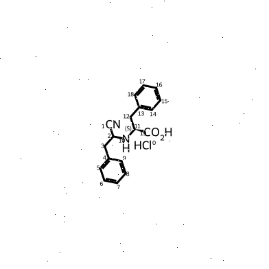 Cl.N#CC(Cc1ccccc1)N[C@@H](Cc1ccccc1)C(=O)O